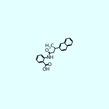 CC(CC(=O)Nc1ccccc1C(=O)O)c1ccc2ccccc2c1